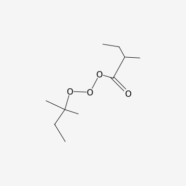 CCC(C)C(=O)OOOC(C)(C)CC